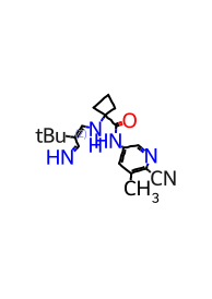 Cc1cc(NC(=O)C2(N/C=C(\C=N)C(C)(C)C)CCC2)cnc1C#N